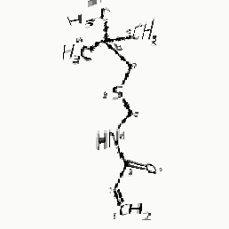 C=CC(=O)NCSCC(C)(C)C